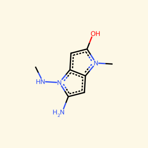 CNn1c(N)cc2c1cc(O)n2C